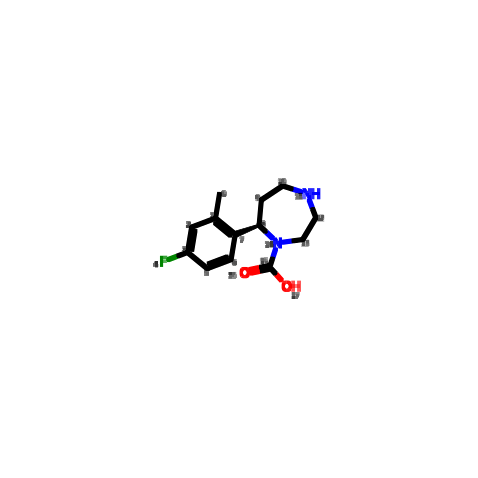 Cc1cc(F)ccc1[C@H]1CCNCCN1C(=O)O